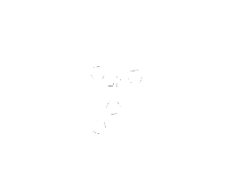 Cc1ccccc1NN=C(Cc1cccc2c1Cc1ccccc1-2)c1ccccc1